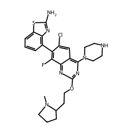 CN1CCCC1CCOc1nc(N2CCNCC2)c2cc(Cl)c(-c3cccc4sc(N)nc34)c(F)c2n1